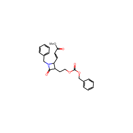 COC(=O)C=CC1C(CCOC(=O)OCc2ccccc2)C(=O)N1Cc1ccccc1